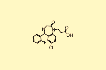 O=C(O)CCN1C(=O)CN=C(c2ccccc2F)c2cc(Cl)ccc21